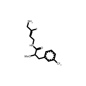 COC(Cc1cccc(C(F)(F)F)c1)C(=O)NCC=C(F)CN